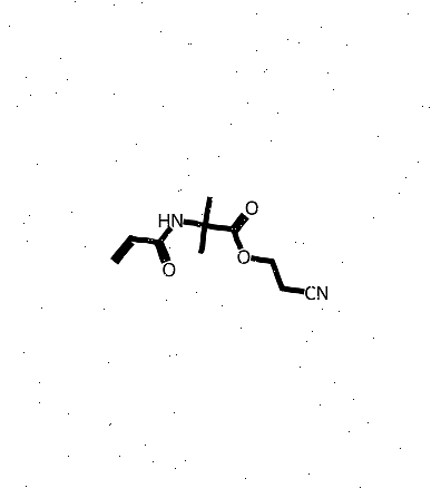 C=CC(=O)NC(C)(C)C(=O)OCCC#N